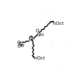 CCCCCCCC/C=C\CCCCCCCC(=O)NCCN1CC[N+](CCCCS(=O)(=O)[O-])=C1CCCCCCC/C=C\CCCCCCCC